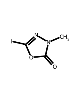 Cn1nc(I)oc1=O